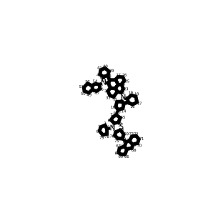 c1ccc(N2c3ccc(-c4ccc5c(c4)c4ccccc4n5-c4cc5cccc6c5c5c4cccc5c4c6c5ccccc5n4-c4ccc5ccccc5c4)cc3Sc3cc(-c4c5ccccc5cc5ccccc45)ccc32)cc1